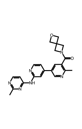 Cc1nccc(Nc2cc(-c3cnc(C)c(C(=O)N4CC5(COC5)C4)c3)ccn2)n1